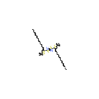 CCCCCCCCCCCCCCc1c[c]([Sn]([CH3])([CH3])[CH3])sc1-c1nc2sc(-c3s[c]([Sn]([CH3])([CH3])[CH3])cc3CCCCCCCCCCCCCC)nc2s1